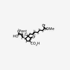 CCCCCC(O)C=C[C@@H]1C[C@H](C(=O)O)C(=O)C1(CC=CCCCC(=O)OC)C(=O)O